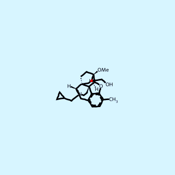 CO[C@]12CC[C@@]3(C[C@@H]1CO)[C@H]1Cc4ccc(C)c5c4[C@@]3(CCN1CC1CC1)[C@H]2O5